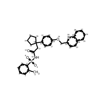 Cc1ccccc1S(=O)(=O)NC(=O)CC1(c2ccc(OCc3ccc4ccccc4n3)cc2)CCCC1